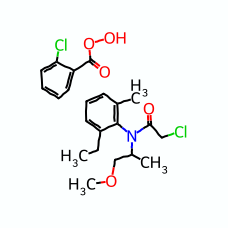 CCc1cccc(C)c1N(C(=O)CCl)C(C)COC.O=C(OO)c1ccccc1Cl